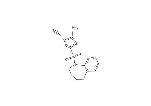 N#Cc1cc(S(=O)(=O)N2CCCCc3ccccc32)sc1N